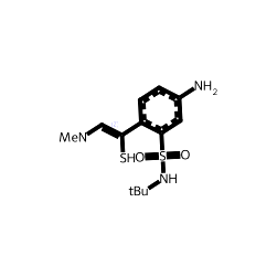 CN/C=C(\S)c1ccc(N)cc1S(=O)(=O)NC(C)(C)C